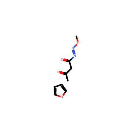 CON=NC(=O)CC(C)=O.c1ccoc1